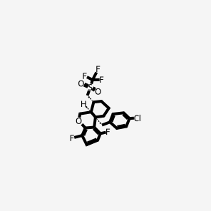 O=S(=O)(C[C@@H]1CCC[C@@]2(Cc3ccc(Cl)cc3)c3c(F)ccc(F)c3OC[C@@H]12)C(F)(F)F